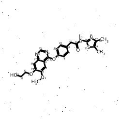 COc1cc2c(Oc3ccc(CC(=O)Nc4nc(C)c(C)s4)cc3)ncnc2cc1OCCO